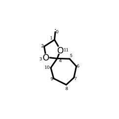 [CH2]C1COC2(CCCCCC2)O1